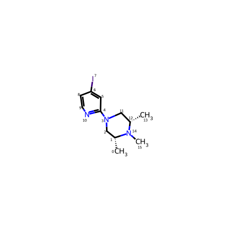 C[C@@H]1CN(c2cc(I)ccn2)C[C@H](C)N1C